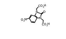 O=C(O)Cn1c(=O)n(CC(=O)O)c2cc([N+](=O)[O-])ccc21